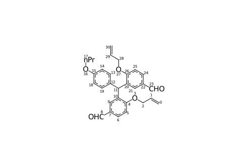 C=CCOc1ccc(C=O)cc1C(c1ccc(OCCC)cc1)c1cc(C=O)ccc1OCC=C